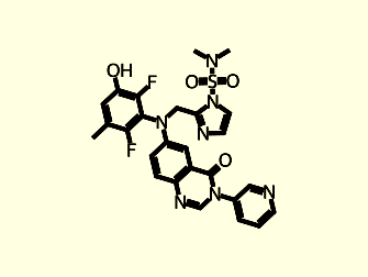 Cc1cc(O)c(F)c(N(Cc2nccn2S(=O)(=O)N(C)C)c2ccc3ncn(-c4cccnc4)c(=O)c3c2)c1F